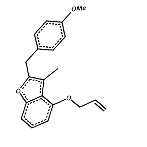 C=CCOc1cccc2oc(Cc3ccc(OC)cc3)c(C)c12